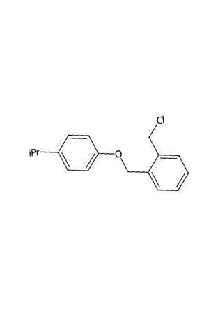 CC(C)c1ccc(OCc2ccccc2CCl)cc1